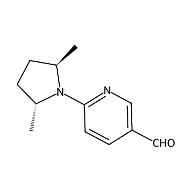 C[C@@H]1CC[C@@H](C)N1c1ccc(C=O)cn1